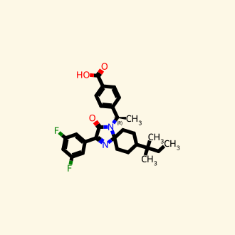 CCC(C)(C)C1CCC2(CC1)N=C(c1cc(F)cc(F)c1)C(=O)N2[C@H](C)c1ccc(C(=O)O)cc1